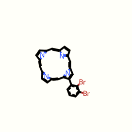 Brc1cccc(C2=CC3=CC4=NC(=CC5=NC(=CC6=NC(=CC2=N3)C=C6)C=C5)C=C4)c1Br